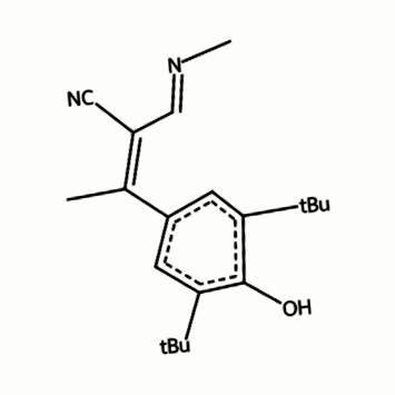 C/N=C/C(C#N)=C(/C)c1cc(C(C)(C)C)c(O)c(C(C)(C)C)c1